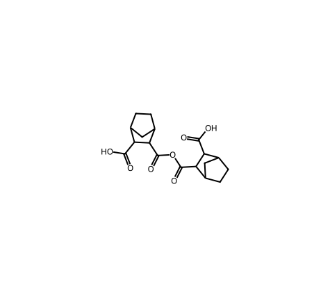 O=C(O)C1C2CCC(C2)C1C(=O)OC(=O)C1C2CCC(C2)C1C(=O)O